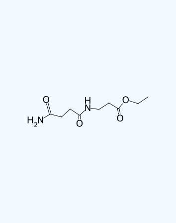 CCOC(=O)CCNC(=O)CCC(N)=O